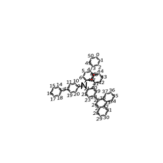 c1ccc(-c2ccc(N(c3ccc(-c4ccccc4)cc3)c3ccc(-c4cc5ccccc5c5ccccc45)cc3-c3ccccc3)cc2)cc1